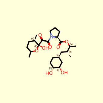 CC1CC[C@@H](C)[C@](O)(C(=O)C(=O)N2CCC[C@H]2C(=O)O[C@@H](C)[C@H](C)C[C@@H]2CC[C@@H](O)[C@H](O)C2)O1